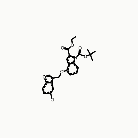 CCOC(=O)c1cc2c(OCc3coc4ccc(Cl)cc34)cccc2n1C(=O)OC(C)(C)C